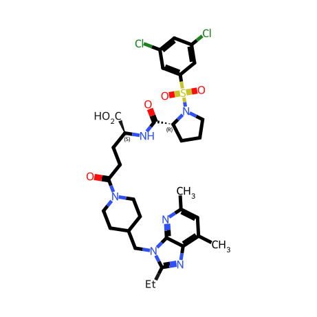 CCc1nc2c(C)cc(C)nc2n1CC1CCN(C(=O)CC[C@H](NC(=O)[C@H]2CCCN2S(=O)(=O)c2cc(Cl)cc(Cl)c2)C(=O)O)CC1